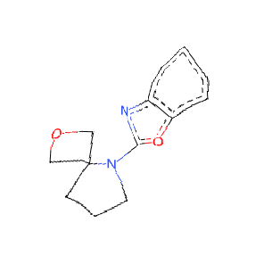 c1ccc2oc(N3CCCC34COC4)nc2c1